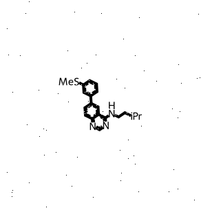 CSc1cccc(-c2ccc3ncnc(NCCC(C)C)c3c2)c1